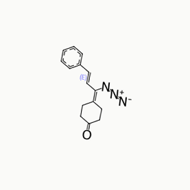 [N-]=[N+]=NC(/C=C/c1ccccc1)=C1CCC(=O)CC1